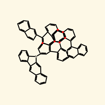 c1ccc(-c2ccc(-n3c4ccccc4c4cc5ccccc5cc43)cc2-c2ccccc2N(c2ccccc2-c2cccc3ccccc23)c2ccc(-c3ccc4ccccc4c3)c3ccccc23)cc1